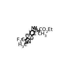 CCOC(=O)C(C)n1nnc2ccc(Oc3nn(C)c(C(F)(F)F)c3Cl)cc21